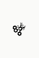 N#Cc1c(C(F)(F)F)cc(-c2ccccc2)n(C2CCCc3ccccc32)c1=O